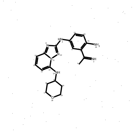 CC(=N)c1cc(Nc2nc3cccc(NC4CCOCC4)n3n2)ccc1N